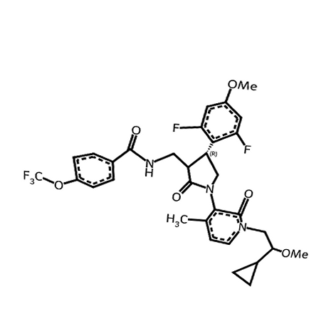 COc1cc(F)c([C@@H]2CN(c3c(C)ccn(CC(OC)C4CC4)c3=O)C(=O)C2CNC(=O)c2ccc(OC(F)(F)F)cc2)c(F)c1